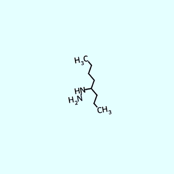 CCCCC(CCC)NN